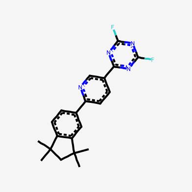 CC1(C)CC(C)(C)c2cc(-c3ccc(-c4nc(F)nc(F)n4)cn3)ccc21